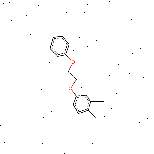 Cc1ccc(OCCOc2ccccc2)cc1C